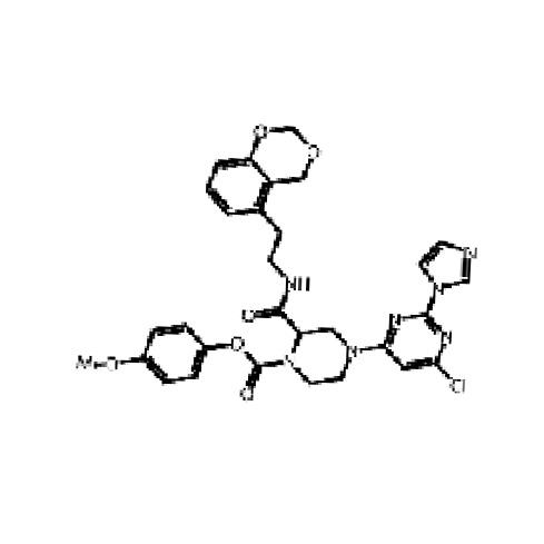 COc1ccc(OC(=O)N2CCN(c3cc(Cl)nc(-n4ccnc4)n3)CC2C(=O)NCCc2cccc3c2COCO3)cc1